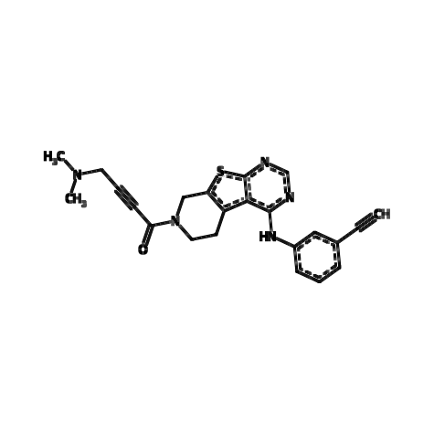 C#Cc1cccc(Nc2ncnc3sc4c(c23)CCN(C(=O)C#CCN(C)C)C4)c1